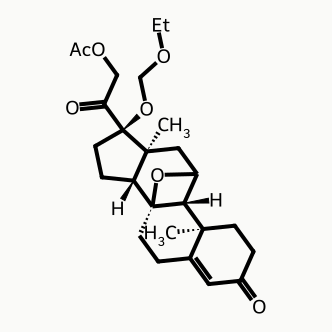 CCOCO[C@]1(C(=O)COC(C)=O)CC[C@H]2[C@]34CCC5=CC(=O)CC[C@]5(C)[C@H]3C(C[C@@]21C)O4